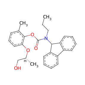 CCCN(C(=O)Oc1c(C)cccc1O[C@H](C)CO)C1c2ccccc2-c2ccccc21